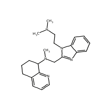 CN(C)CCn1c(CN(C)C2CCCc3cccnc32)nc2ccccc21